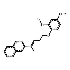 CCOc1cc(C=O)ccc1OCC/C=C(\C)c1ccc2ccccc2c1